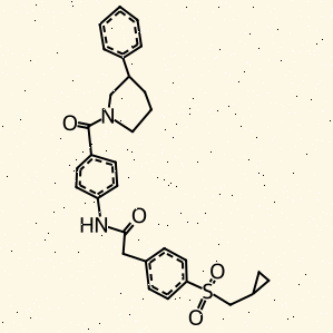 O=C(Cc1ccc(S(=O)(=O)CC2CC2)cc1)Nc1ccc(C(=O)N2CCCC(c3ccccc3)C2)cc1